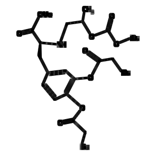 CCC(C)CC(=O)Oc1ccc(C[C@H](NCC(C)OC(=O)OC(C)CC)C(=O)OC)cc1OC(=O)CC(C)CC